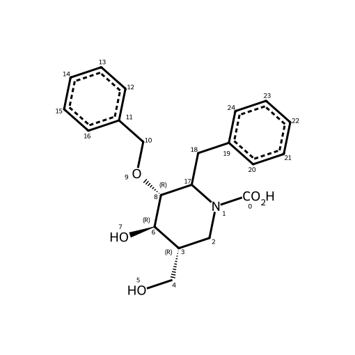 O=C(O)N1C[C@H](CO)[C@@H](O)[C@H](OCc2ccccc2)C1Cc1ccccc1